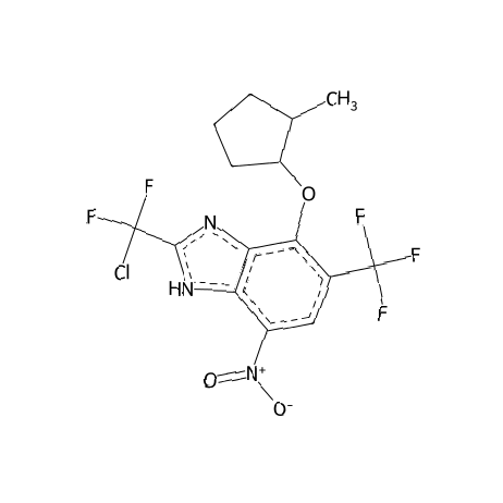 CC1CCCC1Oc1c(C(F)(F)F)cc([N+](=O)[O-])c2[nH]c(C(F)(F)Cl)nc12